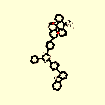 CC1(C)c2ccccc2C2(c3ccccc3Sc3cc(-c4ccc(-c5nc(-c6ccccc6)nc(-c6ccc(-c7cccc8c7oc7ccccc78)cc6)n5)cc4)ccc32)c2ccccc21